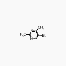 CCc1[c]nc(C(F)(F)F)nc1C